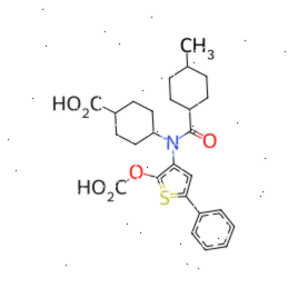 CC1CCC(C(=O)N(c2cc(-c3ccccc3)sc2OC(=O)O)C2CCC(C(=O)O)CC2)CC1